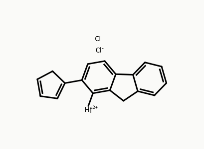 [Cl-].[Cl-].[Hf+2][c]1c(C2=CC=CC2)ccc2c1Cc1ccccc1-2